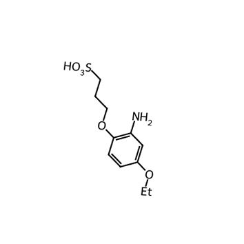 CCOc1ccc(OCCCS(=O)(=O)O)c(N)c1